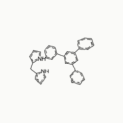 c1c[nH]c(Cc2ccc[nH]2)c1.c1ccc(-c2cc(-c3ccccc3)cc(-c3ccccc3)c2)cc1